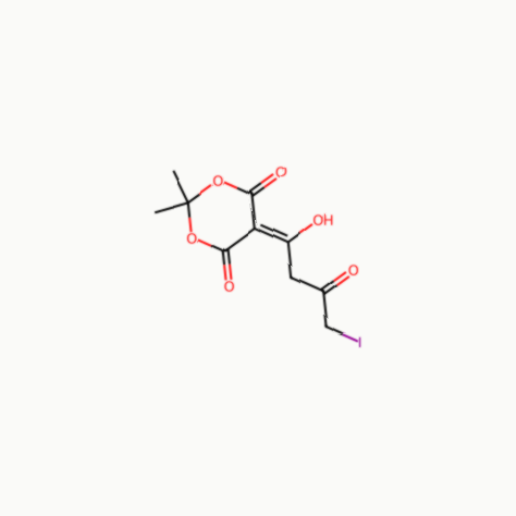 CC1(C)OC(=O)C(=C(O)CC(=O)CI)C(=O)O1